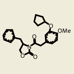 COc1ccc(CC(=O)N2C(=O)OCC2Cc2ccccc2)cc1OC1CCCC1